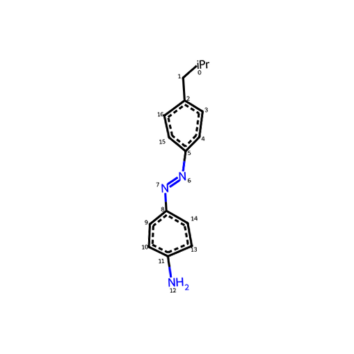 CC(C)Cc1ccc(N=Nc2ccc(N)cc2)cc1